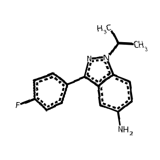 CC(C)n1nc(-c2ccc(F)cc2)c2cc(N)ccc21